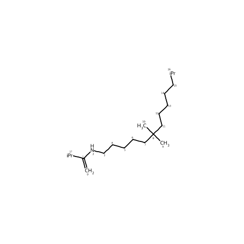 C=C(NCCCCCC(C)(C)CCCCCC(C)C)C(C)C